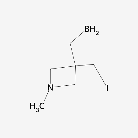 BCC1(CI)CN(C)C1